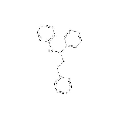 [CH](Cc1ccccc1)C(Nc1ccccc1)c1ccccc1